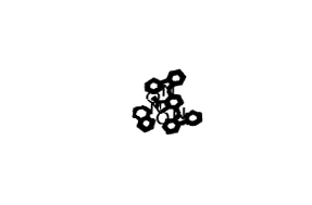 O=C1c2c(-n3c4ccccc4c4ccccc43)ccc(-n3c4ccccc4c4ccccc43)c2C(=O)N1[C@@H]1CCCc2ccccc21